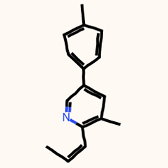 C/C=C\c1ncc(-c2ccc(C)cc2)cc1C